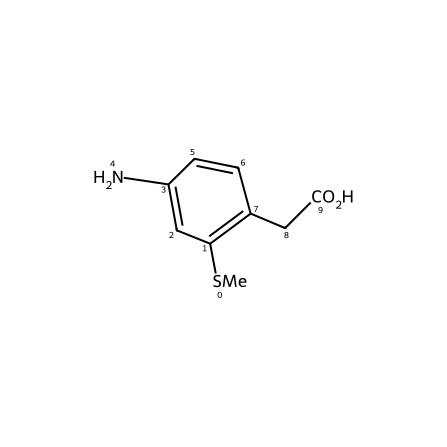 CSc1cc(N)ccc1CC(=O)O